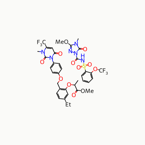 CCc1ccc(COc2ccc(-n3c(=O)cc(C(F)(F)F)n(C)c3=O)cc2)c(OC(C)C(=O)OC)c1.COc1nn(C(=O)NS(=O)(=O)c2ccccc2OC(F)(F)F)c(=O)n1C